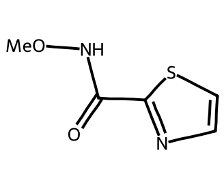 CONC(=O)c1nccs1